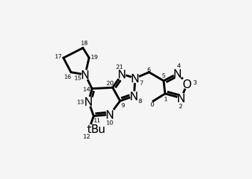 Cc1nonc1Cn1nc2nc(C(C)(C)C)nc(N3CCCC3)c2n1